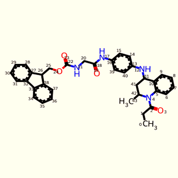 CCC(=O)N1c2ccccc2C(Nc2ccc(NC(=O)CNC(=O)OCC3c4ccccc4-c4ccccc43)cc2)CC1C